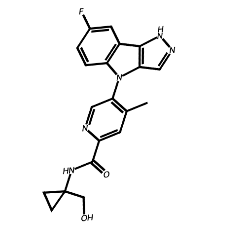 Cc1cc(C(=O)NC2(CO)CC2)ncc1-n1c2ccc(F)cc2c2[nH]ncc21